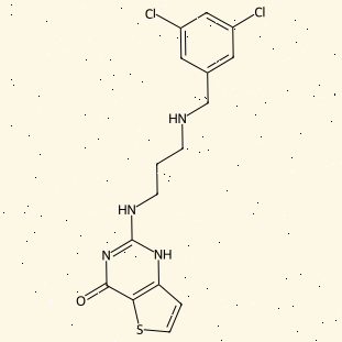 O=c1nc(NCCCNCc2cc(Cl)cc(Cl)c2)[nH]c2ccsc12